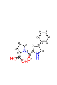 O=C(C1C[C@@H](c2ccccc2)CN1)N1CCC[C@H]1B(O)O